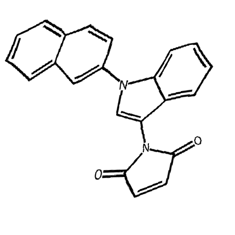 O=C1C=CC(=O)N1c1cn(-c2ccc3ccccc3c2)c2ccccc12